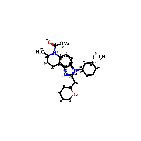 COC(=O)N1c2ccc3c(nc(CC4CCCCO4)n3[C@@H]3CCC[C@@H](C(=O)O)C3)c2CCC1C